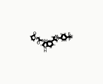 O=C(CN1CCCC1=O)Nc1c[nH]c2ccc(-c3cnn(-c4ccc(C(F)(F)F)cc4)c3)cc12